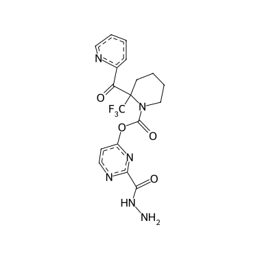 NNC(=O)c1nccc(OC(=O)N2CCCCC2(C(=O)c2ccccn2)C(F)(F)F)n1